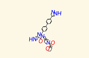 O=C([C@H]1CCCO1)N1CC[C@@H](CN2C(=O)C3(CNC3)N=C2c2ccc(-c3ccc(-c4cn[nH]c4)cc3)cc2)C1